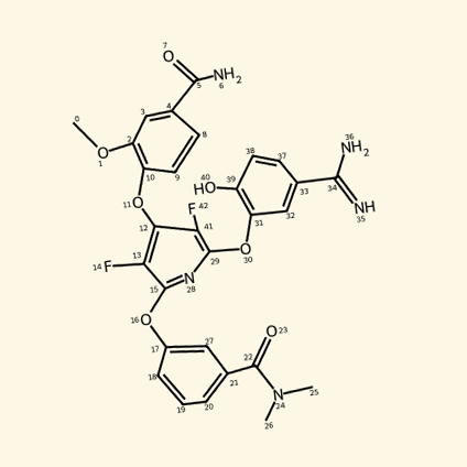 COc1cc(C(N)=O)ccc1Oc1c(F)c(Oc2cccc(C(=O)N(C)C)c2)nc(Oc2cc(C(=N)N)ccc2O)c1F